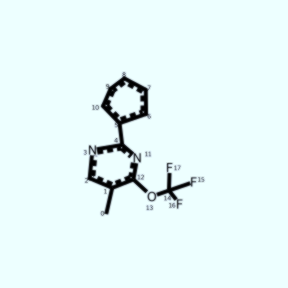 Cc1cnc(-c2ccccc2)nc1OC(F)(F)F